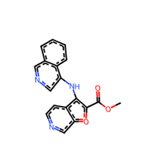 COC(=O)c1oc2cnccc2c1Nc1cncc2ccccc12